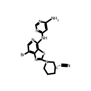 N#C[C@@H]1CCCN(c2nc3c(Br)cnc(Nc4cc(N)ncn4)c3s2)C1